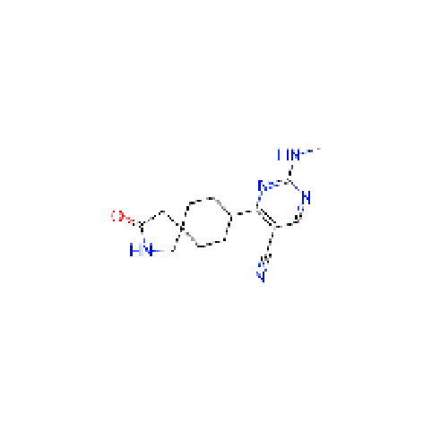 CNc1ncc(C#N)c(C2CCC3(CC2)CNC(=O)C3)n1